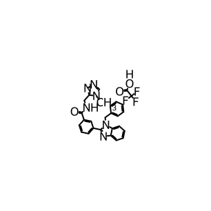 Cn1cnnc1CNC(=O)c1cccc(-c2nc3ccccc3n2Cc2ccccc2)c1.O=C(O)C(F)(F)F